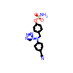 N#Cc1ccc(N(Cc2ccc(OS(N)(=O)=O)cc2)n2cnnn2)cc1